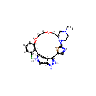 CN1CCN2c3ncc(s3)-c3n[nH]c4cnc(cc34)-c3c(F)cccc3OCCOCC2C1